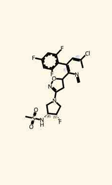 C=N/C(=C(\C=C(/C)Cl)c1c(F)cc(F)cc1F)C1CC(N2C[C@H](F)[C@H](NS(C)(=O)=O)C2)=NO1